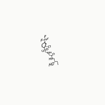 CCC(O)CNC(=O)CNCS(=O)(=O)c1ccc(C(F)(F)F)cc1Cl